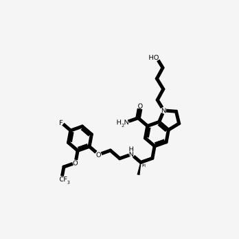 C[C@H](Cc1cc2c(c(C(N)=O)c1)N(CCCCO)CC2)NCCOc1ccc(F)cc1OCC(F)(F)F